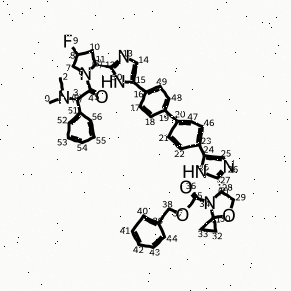 CN(C)[C@@H](C(=O)N1CC(F)C[C@H]1c1ncc(-c2ccc(-c3ccc(-c4cnc([C@@H]5COC6(CC6)N5C(=O)OCc5ccccc5)[nH]4)cc3)cc2)[nH]1)c1ccccc1